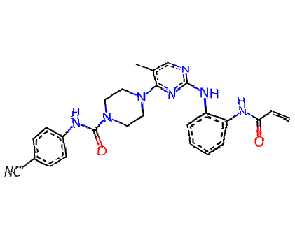 C=CC(=O)Nc1ccccc1Nc1ncc(C)c(N2CCN(C(=O)Nc3ccc(C#N)cc3)CC2)n1